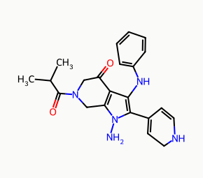 CC(C)C(=O)N1CC(=O)c2c(Nc3ccccc3)c(C3=CCNC=C3)n(N)c2C1